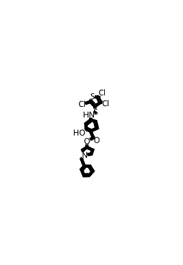 O=C(OC1CCN(Cc2ccccc2)C1)c1ccc(NSc2c(Cl)sc(Cl)c2Cl)cc1O